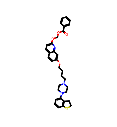 O=C(OCOc1ccc2ccc(OCCCCN3CCN(c4cccc5c4CCS5)CC3)cc2n1)c1ccccc1